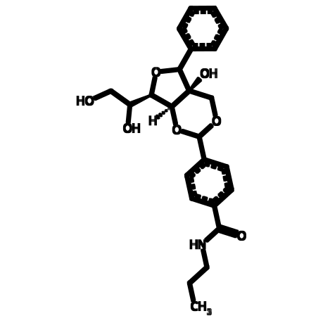 CCCNC(=O)c1ccc(C2OC[C@@]3(O)C(c4ccccc4)O[C@H](C(O)CO)[C@@H]3O2)cc1